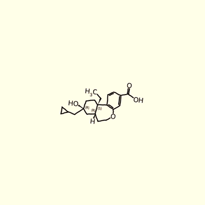 CC[C@]12CC[C@@](O)(CC3CC3)C[C@H]1CCOc1cc(C(=O)O)ccc12